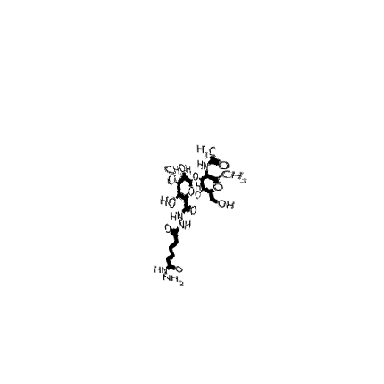 CO[C@@H]1C(O)[C@H](O[C@@H]2C(NC(C)=O)[C@H](C)OC(CO)[C@H]2O)OC(C(=O)NNC(=O)CCCCC(=O)NN)[C@H]1O